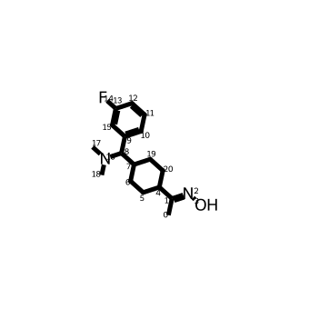 CC(=NO)C1CCC(C(c2cccc(F)c2)N(C)C)CC1